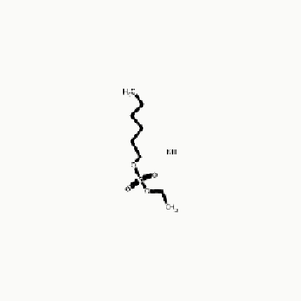 CCCCCCOS(=O)(=O)OCC.[KH]